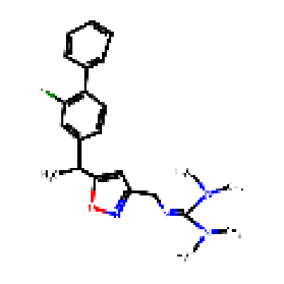 CC(c1ccc(-c2ccccc2)c(F)c1)c1cc(CN=C(N(C)C)N(C)C)no1